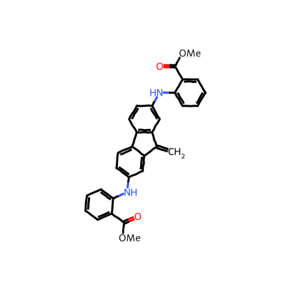 C=C1c2cc(Nc3ccccc3C(=O)OC)ccc2-c2ccc(Nc3ccccc3C(=O)OC)cc21